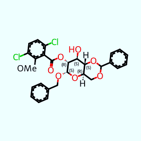 COc1c(Cl)ccc(Cl)c1C(=O)O[C@H]1[C@@H](OCc2ccccc2)O[C@@H]2COC(c3ccccc3)O[C@H]2[C@@H]1O